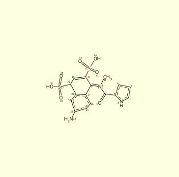 C[N+](C(=O)c1ccc[nH]1)=C1C(S(=O)(=O)O)=CC(S(=O)(=O)O)c2cc(N)ccc21